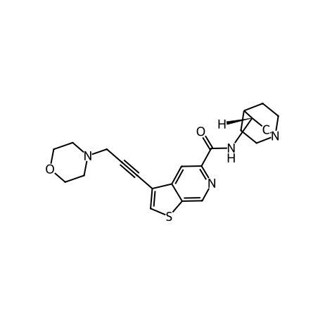 O=C(N[C@H]1CN2CCC1CC2)c1cc2c(C#CCN3CCOCC3)csc2cn1